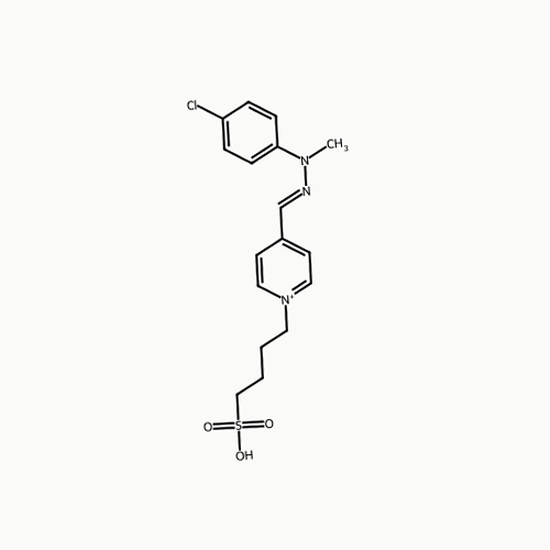 CN(N=Cc1cc[n+](CCCCS(=O)(=O)O)cc1)c1ccc(Cl)cc1